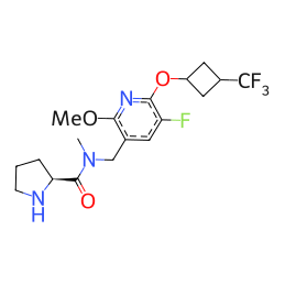 COc1nc(OC2CC(C(F)(F)F)C2)c(F)cc1CN(C)C(=O)[C@@H]1CCCN1